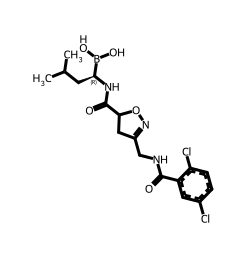 CC(C)C[C@H](NC(=O)C1CC(CNC(=O)c2cc(Cl)ccc2Cl)=NO1)B(O)O